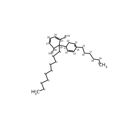 CCCCCCCCCCC1(C2C=CC(CCCCCC)=CC2)C(F)=CC=CC1F